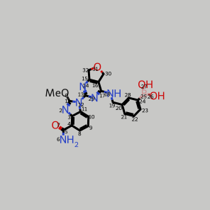 COc1nc2c(C(N)=O)cccc2n1-c1nc2c(c(NCc3cccc(B(O)O)c3)n1)COC2